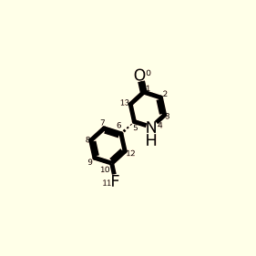 O=C1C=CN[C@H](c2cccc(F)c2)C1